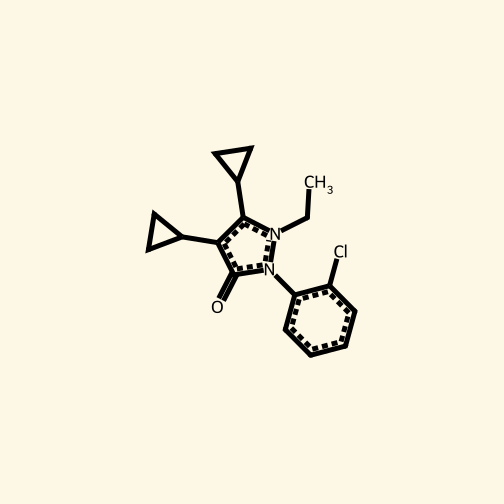 CCn1c(C2CC2)c(C2CC2)c(=O)n1-c1ccccc1Cl